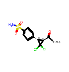 COC(=O)[C@@H]1[C@@H](c2ccc(S(N)(=O)=O)cc2)C1(Cl)Cl